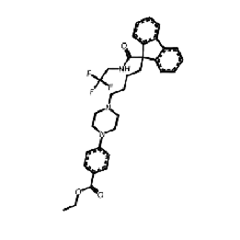 CCOC(=O)c1ccc(N2CCN(CCCCC3(C(=O)NCC(F)(F)F)c4ccccc4-c4ccccc43)CC2)cc1